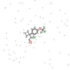 O=CC(Br)C1(c2ccc(OC(F)(F)F)cc2)CCC1